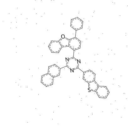 c1ccc(-c2ccc(-c3nc(-c4ccc5ccccc5c4)nc(-c4ccc5c(c4)sc4ccccc45)n3)c3c2oc2ccccc23)cc1